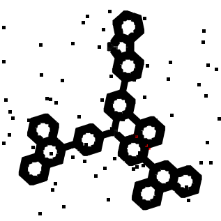 c1ccc(-c2cc(-c3ccc4c(c3)sc3ccccc34)ccc2N(c2ccc(-c3cc4ccccc4c4ccccc34)cc2)c2ccc(-c3cc4ccccc4c4ccccc34)cc2)cc1